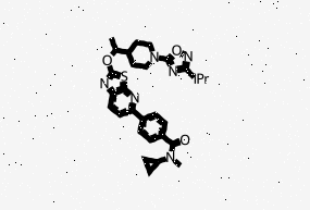 CC(C)c1noc(N2CCC(C(C)Oc3nc4ccc(-c5ccc(C(=O)N(C)C6CC6)cc5)nc4s3)CC2)n1